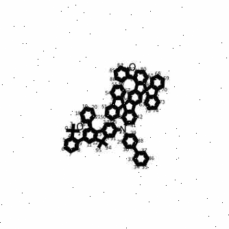 CC(C)(C)c1ccccc1-c1cc2c(c3c1oc1ccccc13)-c1ccc(N(c3ccc(-c4ccccc4)cc3)c3ccc4c(c3)C3(c5ccccc5-c5ccccc53)c3cc5c(cc3-4)C3(c4ccccc4-c4ccccc43)c3ccc4oc6ccccc6c4c3-5)cc1C2(C)C